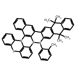 Cc1ccccc1N1B2c3cccc4c3N(c3ccccc3S4)c3c2c(cc2ccccc32)-c2cc3c(cc21)C(C)(C)c1ccccc1C3(C)C